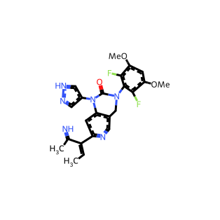 C/C=C(\C(C)=N)c1cc2c(cn1)CN(c1c(F)c(OC)cc(OC)c1F)C(=O)N2c1cn[nH]c1